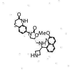 COc1ccc2cccc(C(NC[C@@H]3CN(c4ccc5c(c4)NC(=O)CS5)C(=O)O3)C3CNC3)c2n1